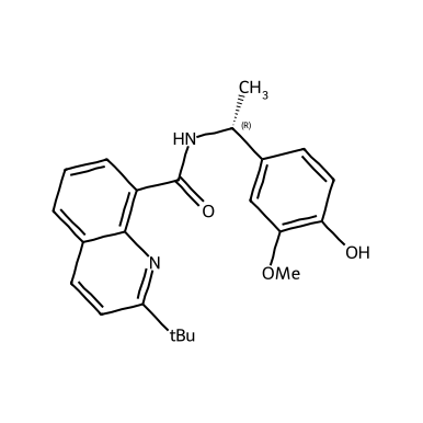 COc1cc([C@@H](C)NC(=O)c2cccc3ccc(C(C)(C)C)nc23)ccc1O